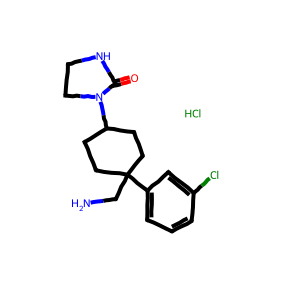 Cl.NCC1(c2cccc(Cl)c2)CCC(N2CCNC2=O)CC1